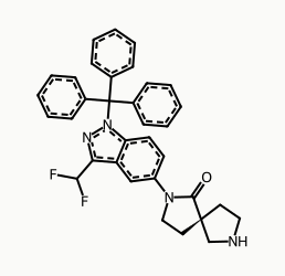 O=C1N(c2ccc3c(c2)c(C(F)F)nn3C(c2ccccc2)(c2ccccc2)c2ccccc2)CC[C@]12CCNC2